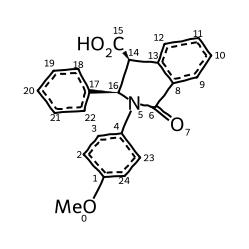 COc1ccc(N2C(=O)c3ccccc3[C@H](C(=O)O)[C@@H]2c2ccccc2)cc1